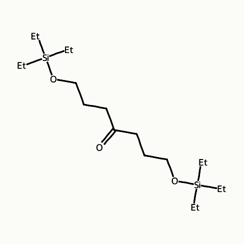 CC[Si](CC)(CC)OCCCC(=O)CCCO[Si](CC)(CC)CC